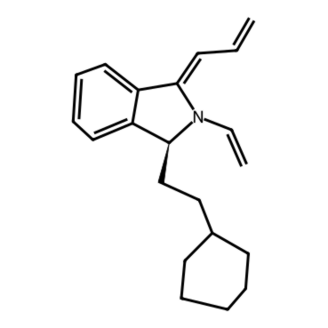 C=C/C=C1/c2ccccc2[C@H](CCC2CCCCC2)N1C=C